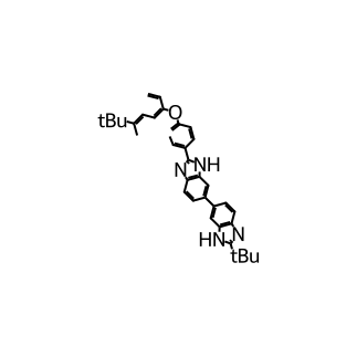 C=C/C(=C\C=C(/C)C(C)(C)C)OC(=C)/C=C\C(=C/C)c1nc2ccc(-c3ccc4nc(C(C)(C)C)[nH]c4c3)cc2[nH]1